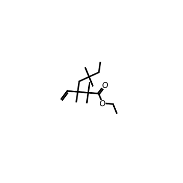 C=CC(C)(CC(C)(C)CC)C(C)(C)C(=O)OCC